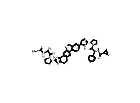 COC(=O)N[C@H](C(=O)N1CCC[C@H]1c1nc2c([nH]1)-c1cc3c(cc1CC2)-c1ccc(-c2cnc([C@@H]4CCCN4C(=O)[C@H](NC(=O)C4CC4)c4ccccc4)[nH]2)cc1CO3)C(C)C